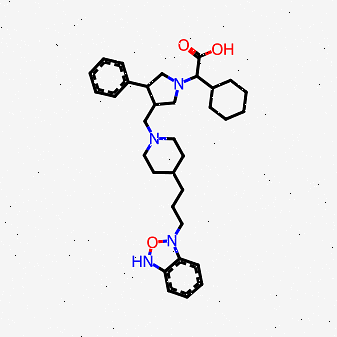 O=C(O)C(C1CCCCC1)N1CC(CN2CCC(CCCN3ONc4ccccc43)CC2)C(c2ccccc2)C1